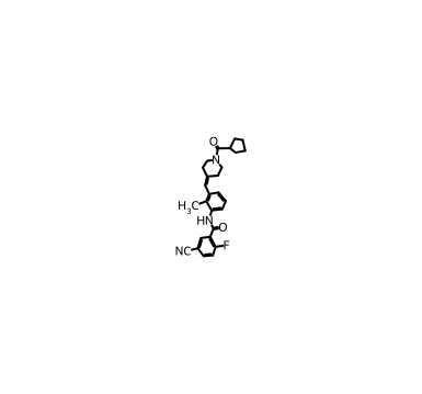 Cc1c(C=C2CCN(C(=O)C3CCCC3)CC2)cccc1NC(=O)c1cc(C#N)ccc1F